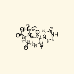 COc1c(N2CCNC(C)C2)c(F)cc2c(=O)cc(C(=O)O)n(C3CC3)c12